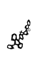 CC1(C)c2cc(-c3c4ccccc4c(-c4ccccc4)c4ccccc34)ccc2-c2ccc3oc4c5ccccc5ccc4c3c21